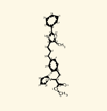 COC(=O)[C@H](Cc1ccc(CCCc2nc(-c3ccccc3)oc2C)cc1)n1cccc1